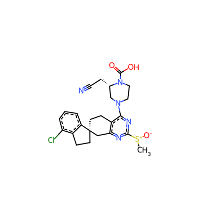 C[S+]([O-])c1nc2c(c(N3CCN(C(=O)O)[C@@H](CC#N)C3)n1)CC[C@@]1(CCc3c(Cl)cccc31)C2